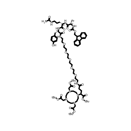 CC(C)[C@H](NC(=O)OCC1c2ccccc2-c2ccccc21)C(=O)N[C@@H](CCCNC(N)=O)C(=O)N[C@@H](Cc1ccc(O)cc1)C(=O)NCCOCCOCCOCCOCCOCCNC(=O)CCC(C(=O)OC(C)(C)C)N1CCN(CC(=O)OC(C)(C)C)CCN(CC(=O)OC(C)(C)C)CCN(CC(=O)OC(C)(C)C)CC1